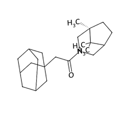 CC1(C)C2CC[C@]1(C)CN(C(=O)CC13CC4CC(CC(C4)C1)C3)C2